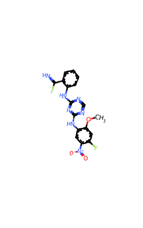 COc1cc(F)c([N+](=O)[O-])cc1Nc1ncnc(Nc2ccccc2C(=N)F)n1